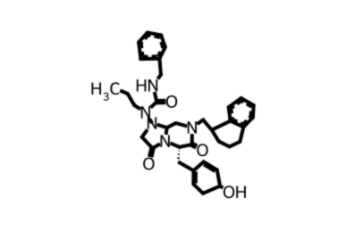 CCCN(C(=O)NCc1ccccc1)N1CC(=O)N2C1CN(CC1CCCc3ccccc31)C(=O)[C@@H]2CC1=CCC(O)C=C1